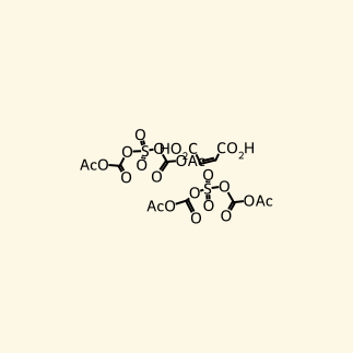 CC(=O)OC(=O)OS(=O)(=O)OC(=O)OC(C)=O.CC(=O)OC(=O)OS(=O)(=O)OC(=O)OC(C)=O.O=C(O)/C=C\C(=O)O